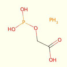 O=C(O)COP(O)O.P